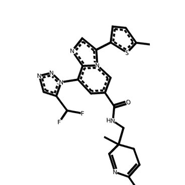 COC1=CCC(C)(CNC(=O)c2cc(-n3nncc3C(F)F)c3ncc(-c4ccc(C)s4)n3c2)C=N1